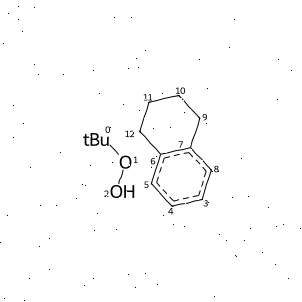 CC(C)(C)OO.c1ccc2c(c1)CCCC2